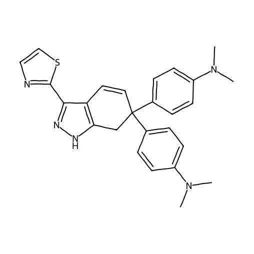 CN(C)c1ccc(C2(c3ccc(N(C)C)cc3)C=Cc3c(-c4nccs4)n[nH]c3C2)cc1